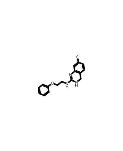 Clc1ccc2c(c1)N=C(NCCOc1ccccc1)NC2